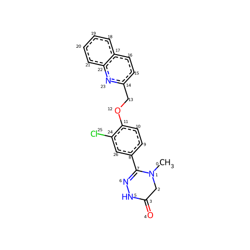 CN1CC(=O)NN=C1c1ccc(OCc2ccc3ccccc3n2)c(Cl)c1